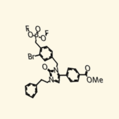 COC(=O)c1ccc(-c2cn(CCc3ccccc3)c(=O)n2Cc2ccc(CP(=O)(OF)OF)c(Br)c2)cc1